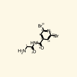 NCC(=O)NC(=O)c1cc(Br)nc(Br)c1